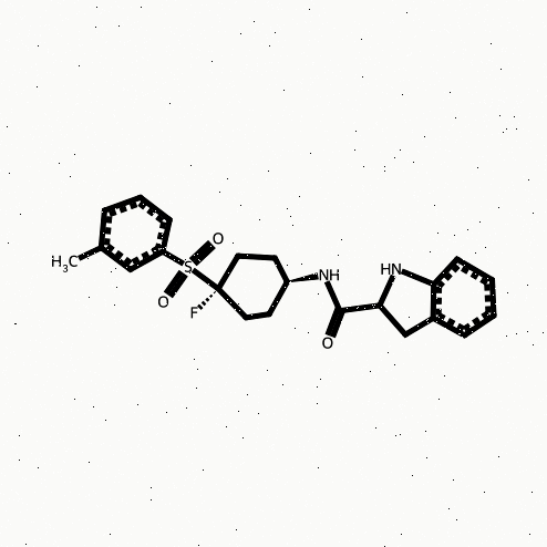 Cc1cccc(S(=O)(=O)[C@]2(F)CC[C@H](NC(=O)C3Cc4ccccc4N3)CC2)c1